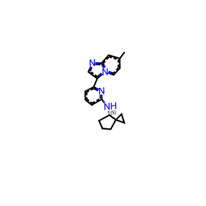 Cc1ccn2c(-c3cccc(N[C@H]4CCCC45CC5)n3)cnc2c1